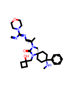 C=N/C(=N\C=C(/C)N1C[C@]2(CC[C@@](NC)(c3ccccc3)CC2)N(CC2(O)CCC2)C1=O)N1CCOCC1